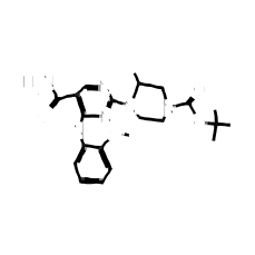 COc1ccccc1Nc1nc(N2CCN(C(=O)OC(C)(C)C)CC2C)ncc1C(N)=O